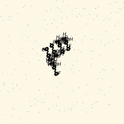 COc1cccc(CCc2ccc(N3CC(=O)NS3(=O)=O)c(O)c2)c1.Cc1ccc(CCc2ccc(N3CC(=O)NS3(=O)=O)c(O)c2)cc1.O=C1CN(c2ccc(CCc3c(F)c(F)c(F)c(F)c3F)cc2O)S(=O)(=O)N1.O=C1CN(c2ccc(CCc3cccc(F)c3)cc2O)S(=O)(=O)N1.O=C1CN(c2ccc(CCc3ccccc3F)cc2O)S(=O)(=O)N1